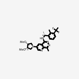 CO[C@H]1CN(c2cnc3c(C)nnc(N[C@H](C)c4cccc(C(C)(F)F)c4C)c3c2)C[C@H]1OC